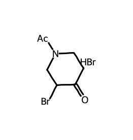 Br.CC(=O)N1CCC(=O)C(Br)C1